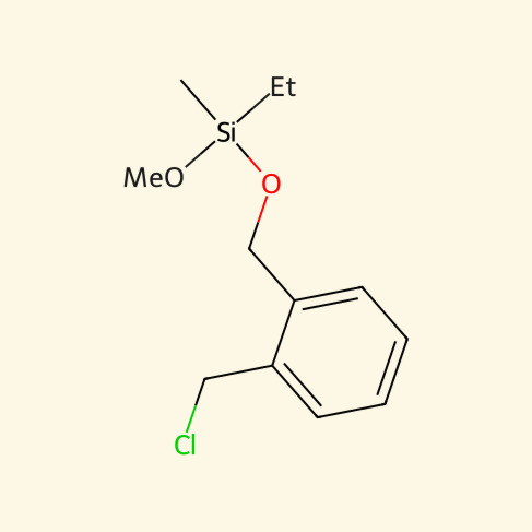 CC[Si](C)(OC)OCc1ccccc1CCl